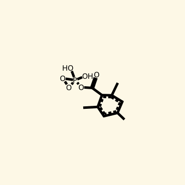 Cc1cc(C)c(C(=O)OP2(O)(O)OO2)c(C)c1